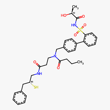 CCCC(=O)N(CCC(=O)NC[C@H](S)Cc1ccccc1)Cc1ccc(-c2ccccc2S(=O)(=O)NC(=O)[C@H](C)O)cc1